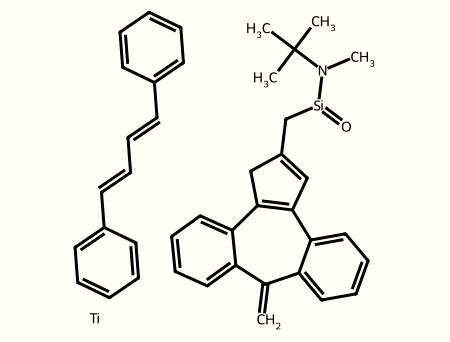 C(C=Cc1ccccc1)=Cc1ccccc1.C=C1c2ccccc2C2=C(CC(C[Si](=O)N(C)C(C)(C)C)=C2)c2ccccc21.[Ti]